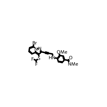 CNC(=O)c1ccc(NCC#Cc2nn3c(Br)cccc3c2SC(F)F)c(OC)c1